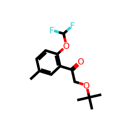 Cc1ccc(OC(F)F)c(C(=O)COC(C)(C)C)c1